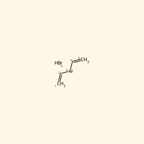 Br.C=[CH][Al][CH]=C